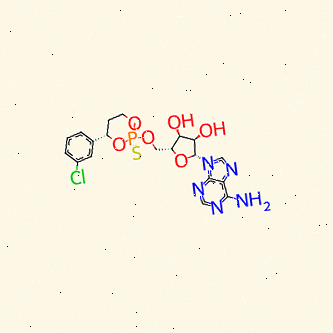 Nc1ncnc2c1ncn2[C@@H]1O[C@H](COP2(=S)OCC[C@@H](c3cccc(Cl)c3)O2)[C@@H](O)[C@H]1O